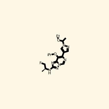 CCOC(C)n1cc(-c2ncn3nc(N[C@@H](C)CF)nc3c2OC(C)C)cn1